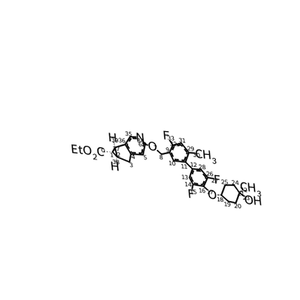 CCOC(=O)[C@H]1[C@@H]2Cc3cc(OCc4cc(-c5cc(F)c(O[C@H]6CC[C@](C)(O)CC6)c(F)c5)c(C)cc4F)ncc3[C@@H]21